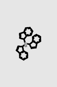 C1=C[CH]([ZrH]([CH]2C=Cc3ccccc32)[CH]2C=Cc3ccccc32)c2ccccc21